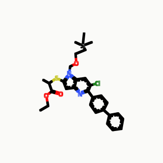 CCOC(=O)C(C)Sc1cc2nc(-c3ccc(-c4ccccc4)cc3)c(Cl)cc2n1COCC[Si](C)(C)C